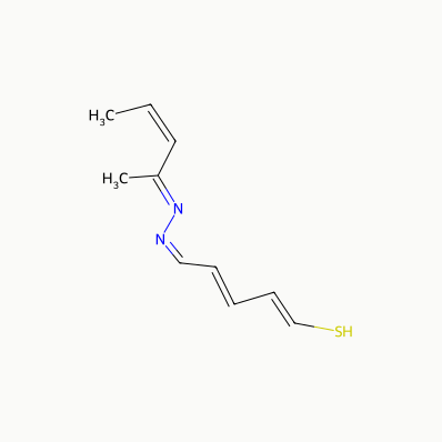 C\C=C/C(C)=N/N=C\C=C\C=C\S